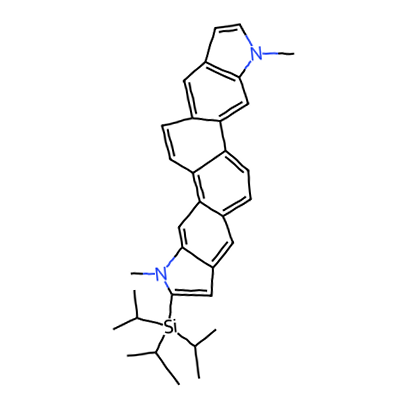 CC(C)[Si](c1cc2cc3ccc4c5cc6c(ccn6C)cc5ccc4c3cc2n1C)(C(C)C)C(C)C